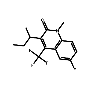 CCC(C)c1c(C(F)(F)F)c2cc(F)ccc2n(C)c1=O